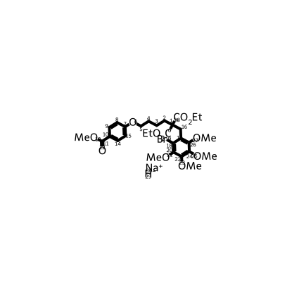 CCOC(=O)C(CCCCOc1ccc(C(=O)OC)cc1)(Cc1c(Br)c(OC)c(OC)c(OC)c1OC)C(=O)OCC.[H-].[Na+]